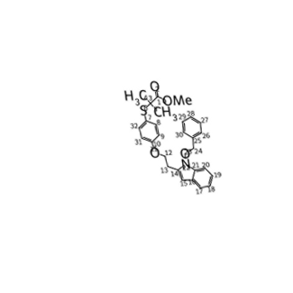 COC(=O)C(C)(C)Sc1ccc(OCCc2cc3ccccc3n2OCc2ccccc2)cc1